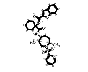 C[C@@H]1CC[C@H](NC(=O)C2(NC(=O)c3cc4ccccc4o3)CCCCC2)[C@@H](O)CN1S(=O)(=O)c1ccccn1